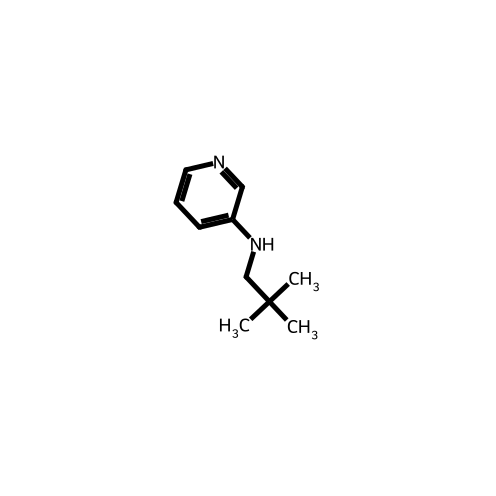 CC(C)(C)CNc1cccnc1